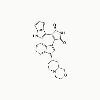 O=C1NC(=O)C(c2c[nH]c3ccsc23)=C1c1cn(C2CCN3CCOCC3C2)c2ccccc12